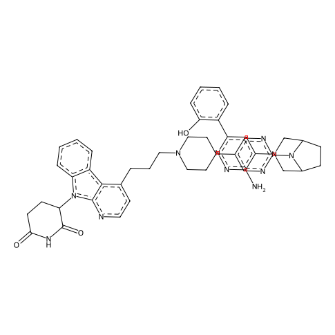 Nc1nnc(-c2ccccc2O)cc1N1CC2CCC(C1)N2c1ncc(C2CCN(CCCc3ccnc4c3c3ccccc3n4C3CCC(=O)NC3=O)CC2)cn1